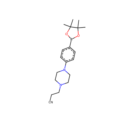 CC1(C)OB(c2ccc(N3CCN(CCC#N)CC3)cc2)OC1(C)C